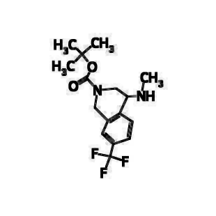 CNC1CN(C(=O)OC(C)(C)C)Cc2cc(C(F)(F)F)ccc21